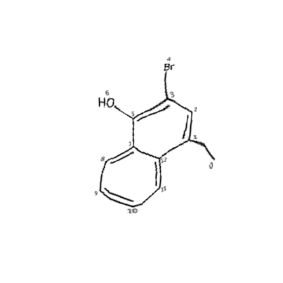 Cc1cc(Br)c(O)c2ccccc12